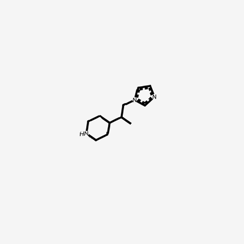 CC(Cn1ccnc1)C1CCNCC1